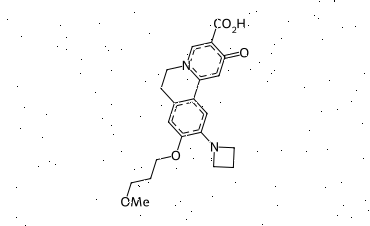 COCCCOc1cc2c(cc1N1CCC1)-c1cc(=O)c(C(=O)O)cn1CC2